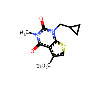 CCOC(=O)c1csc2c1c(=O)n(C)c(=O)n2CC1CC1